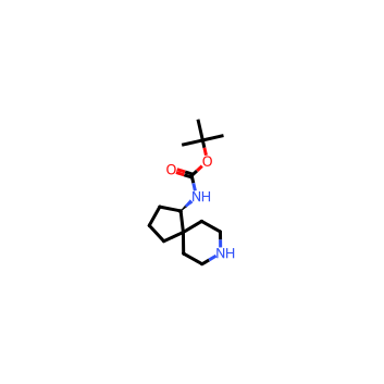 CC(C)(C)OC(=O)N[C@@H]1CCCC12CCNCC2